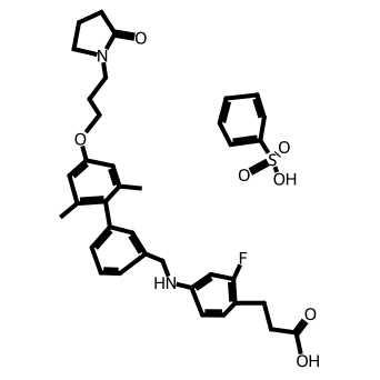 Cc1cc(OCCCN2CCCC2=O)cc(C)c1-c1cccc(CNc2ccc(CCC(=O)O)c(F)c2)c1.O=S(=O)(O)c1ccccc1